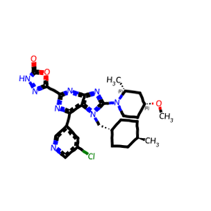 CO[C@@H]1CCN(c2nc3nc(-c4n[nH]c(=O)o4)nc(-c4cncc(Cl)c4)c3n2C[C@H]2CC[C@H](C)CC2)[C@H](C)C1